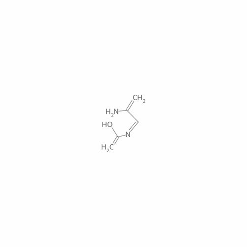 C=C(N)/C=N\C(=C)O